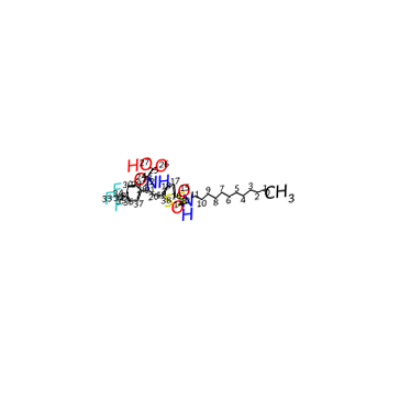 CCCCCCCCCCCCNS(=O)(=O)c1ccc(CC(NC(=O)C(=O)O)c2ccc(C(F)(F)F)cc2)s1